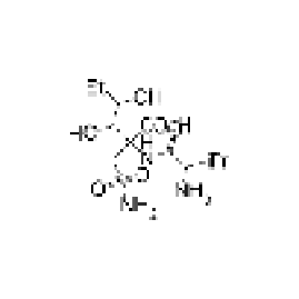 CCC(O)C(O)C(CS(N)(=O)=O)(NC(=O)C(N)C(C)C)C(=O)O